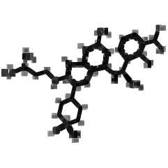 Cc1nc(N[C@H](C)c2cccc(C(F)F)c2F)c2cc(C3CCS(=N)(=O)CC3)c(OCCN(C)C)nc2n1